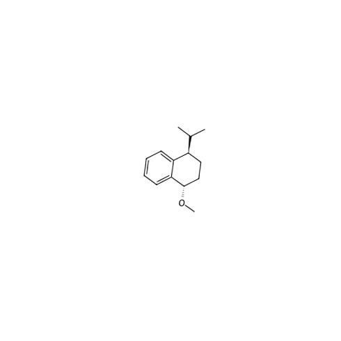 CO[C@H]1CC[C@H](C(C)C)c2ccccc21